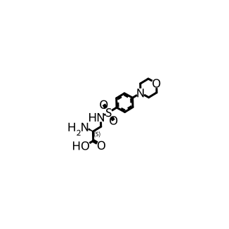 N[C@@H](CNS(=O)(=O)c1ccc(N2CCOCC2)cc1)C(=O)O